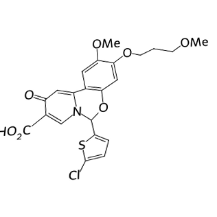 COCCCOc1cc2c(cc1OC)-c1cc(=O)c(C(=O)O)cn1C(c1ccc(Cl)s1)O2